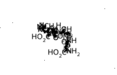 Cn1nnnc1CC1=C(C(=O)O)N2C(=O)[C@@H](NC(=O)C(O)c3csc(NC(=O)OC[C@@H](N)C(=O)O)n3)[C@H]2SC1